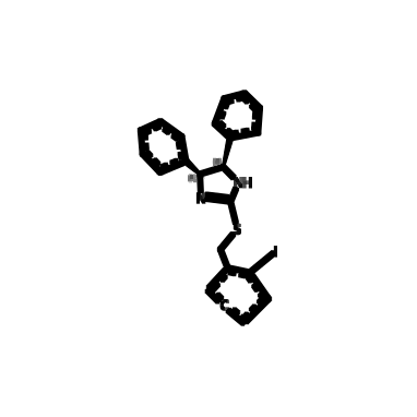 Ic1ccccc1CSC1=N[C@@H](c2ccccc2)[C@@H](c2ccccc2)N1